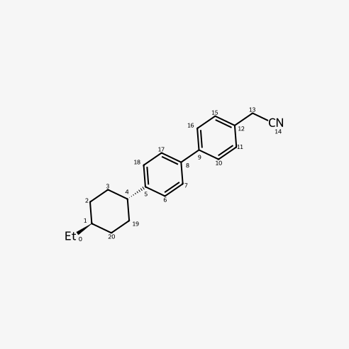 CC[C@H]1CC[C@H](c2ccc(-c3ccc(CC#N)cc3)cc2)CC1